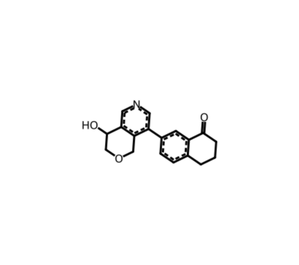 O=C1CCCc2ccc(-c3cncc4c3COCC4O)cc21